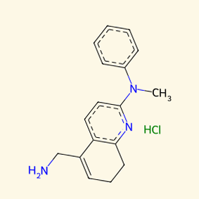 CN(c1ccccc1)c1ccc2c(n1)CCC=C2CN.Cl